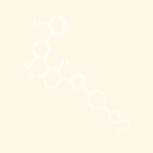 CC1=C(c2cc(-c3ccccc3C)nnc2C)[C@H](C)N(c2ncc(C3CCN(C4CC5(CNC5)C4)CC3)s2)CC1